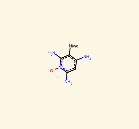 CNc1c(N)cc(N)[n+]([O-])c1N